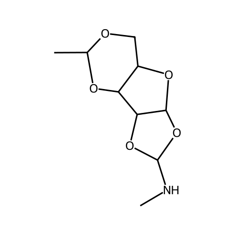 CNC1OC2OC3COC(C)OC3C2O1